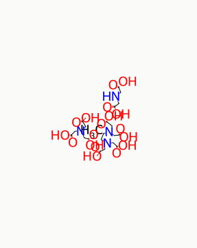 CC(CN(CC(=O)O)CC(=O)O)N(CC(=O)O)CC(=O)O.O=C(O)CN(CC(=O)O)CC(=O)O.O=C(O)CNCC(=O)O